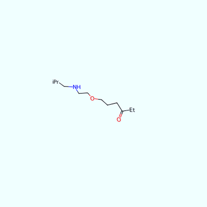 CCC(=O)CCCOCCNCC(C)C